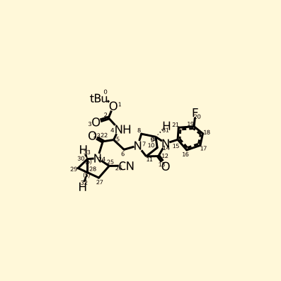 CC(C)(C)OC(=O)NC(CN1C[C@@H]2CC1C(=O)N2c1cccc(F)c1)C(=O)N1C(C#N)C[C@@H]2C[C@@H]21